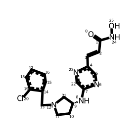 O=C(C=Cc1cnc(N[C@@H]2CCN(Cc3ccccc3Cl)C2)cn1)NO